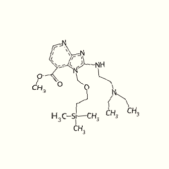 CCN(CC)CCNc1nc2nccc(C(=O)OC)c2n1COCC[Si](C)(C)C